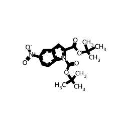 CC(C)(C)OC(=O)c1cc2cc([N+](=O)[O-])ccc2n1C(=O)OC(C)(C)C